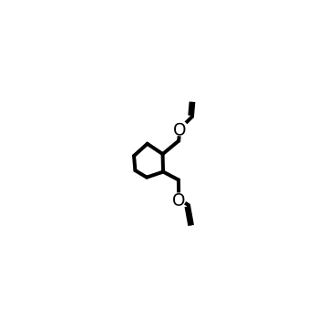 C=COCC1CCCCC1COC=C